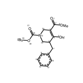 COC(=O)C1=C(O)C(Cc2ccccc2)CN(C(=O)OC(C)(C)C)C1